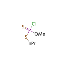 CCCSP(=S)(Cl)OC